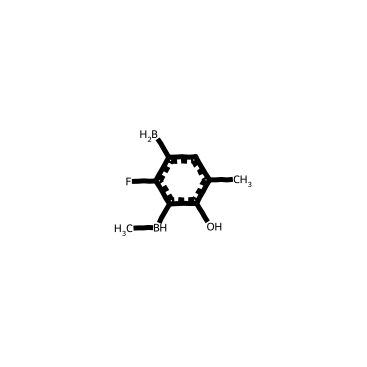 Bc1cc(C)c(O)c(BC)c1F